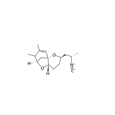 [C-]#[N+][C@@H](C)C[C@H]1CC[C@@H]2O[C@@H]3C[C@]2(C=C(C)C3C)O1